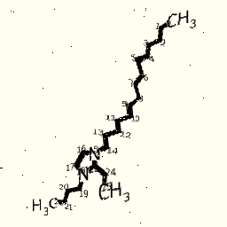 CCCCCCCCCCCCCCCN1C=CN(CCCC)C1CC